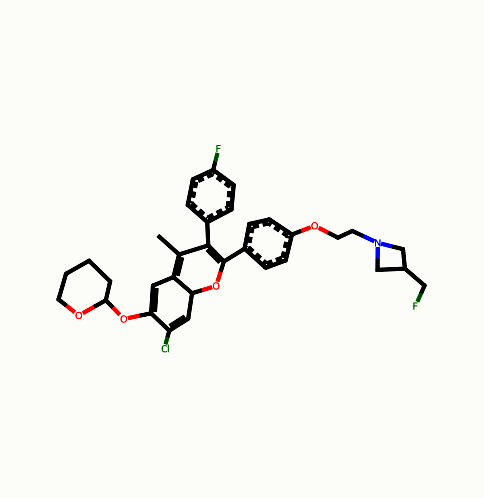 CC1=C2C=C(OC3CCCCO3)C(Cl)=CC2OC(c2ccc(OCCN3CC(CF)C3)cc2)=C1c1ccc(F)cc1